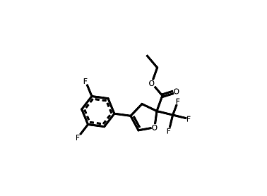 CCOC(=O)C1(C(F)(F)F)CC(c2cc(F)cc(F)c2)=CO1